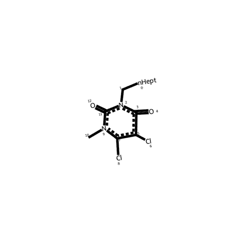 CCCCCCCCn1c(=O)c(Cl)c(Cl)n(C)c1=O